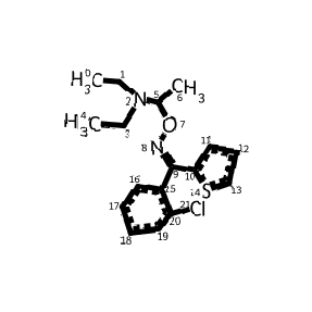 CCN(CC)C(C)ON=C(c1cccs1)c1ccccc1Cl